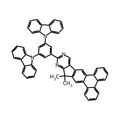 CC1(C)c2cc3c4ccccc4c4ccccc4c3cc2-c2cnc(-c3cc(-n4c5ccccc5c5ccccc54)cc(-n4c5ccccc5c5ccccc54)c3)nc21